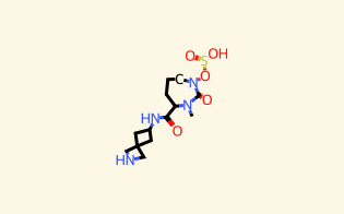 CN1C(=O)N(OS(=O)O)CCCC1C(=O)NC1CC2(CNC2)C1